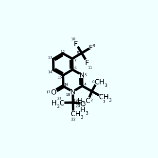 CC(C)(C)c1nc2c(C(F)(F)F)cccc2c(=O)n1C(C)(C)C